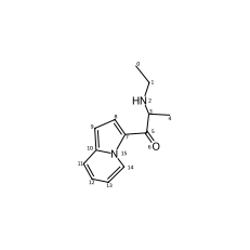 CCNC(C)C(=O)c1ccc2ccccn12